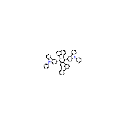 c1ccc(-n2c3ccccc3c3cc(-c4c5cc6c7ccccc7c7cccc(c5c(-c5ccc8c(c5)c5ccccc5n8-c5ccccc5)c5c8cccc9cccc(c45)c98)c76)ccc32)cc1